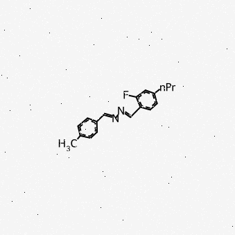 CCCc1ccc(C=NN=Cc2ccc(C)cc2)c(F)c1